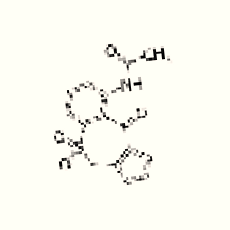 CC(=O)Nc1cccc2c1C(=O)c1sccc1CS2(=O)=O